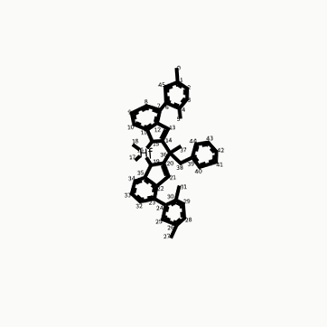 Cc1ccc(C)c(-c2cccc3c2C=C2[CH]3[Hf]([CH3])([CH3])[CH]3C(=Cc4c(-c5cc(C)ccc5C)cccc43)C2(C)Cc2ccccc2)c1